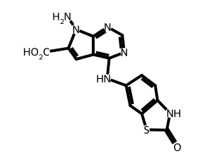 Nn1c(C(=O)O)cc2c(Nc3ccc4[nH]c(=O)sc4c3)ncnc21